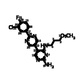 COCCCNc1nc(N)ncc1-c1cnc(-c2ccc(F)c(Cl)c2)nc1